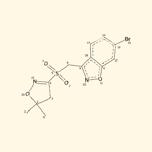 CC1(C)CC(S(=O)(=O)Cc2noc3cc(Br)ccc23)=NO1